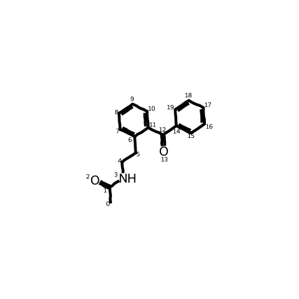 CC(=O)NCCc1ccccc1C(=O)c1ccccc1